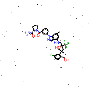 Cc1cc(NC[C@](O)(CC(C)(C)c2cc(F)ccc2CO)C(F)(F)F)c2cnn(-c3cccc(C(=O)N4CCC[C@@H]4C(N)=O)c3)c2c1